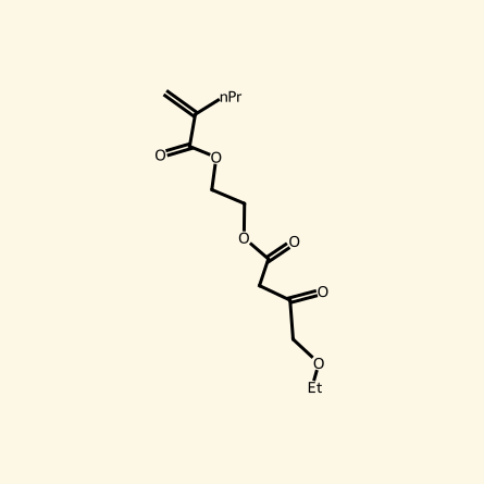 C=C(CCC)C(=O)OCCOC(=O)CC(=O)COCC